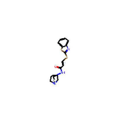 O=C(/C=C/Sc1nc2ccccc2s1)NC1CN2CCC1CC2